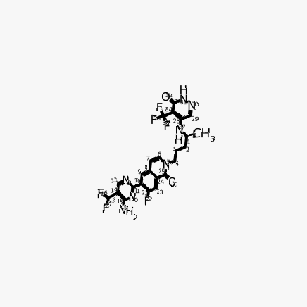 C[C@@H](CCCn1ccc2cc(-c3ncc(C(F)F)c(N)n3)c(F)cc2c1=O)Nc1cn[nH]c(=O)c1C(F)(F)F